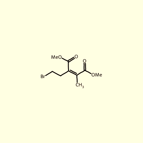 COC(=O)/C(C)=C(/CCBr)C(=O)OC